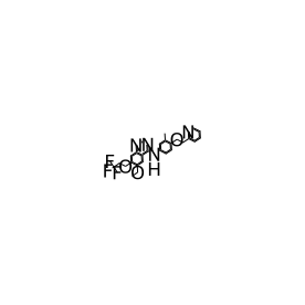 COc1cc2c(Nc3ccc(OCc4ccccn4)c(C)c3)ncnc2cc1OCC(F)(F)F